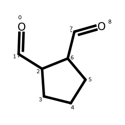 O=[C]C1CCCC1[C]=O